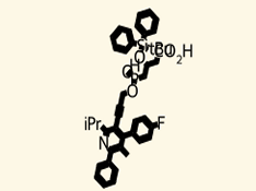 Cc1c(-c2ccccc2)nc(C(C)C)c(C#CCO[PH](=O)CC(CC(=O)O)O[Si](c2ccccc2)(c2ccccc2)C(C)(C)C)c1-c1ccc(F)cc1